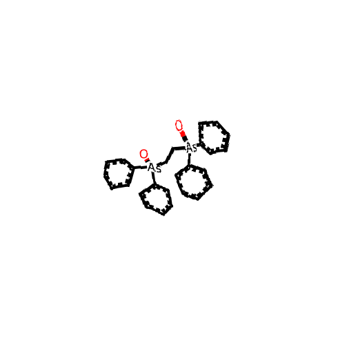 O=[As](CC[As](=O)(c1ccccc1)c1ccccc1)(c1ccccc1)c1ccccc1